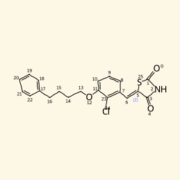 O=C1NC(=O)/C(=C/c2cccc(OCCCCc3ccccc3)c2Cl)S1